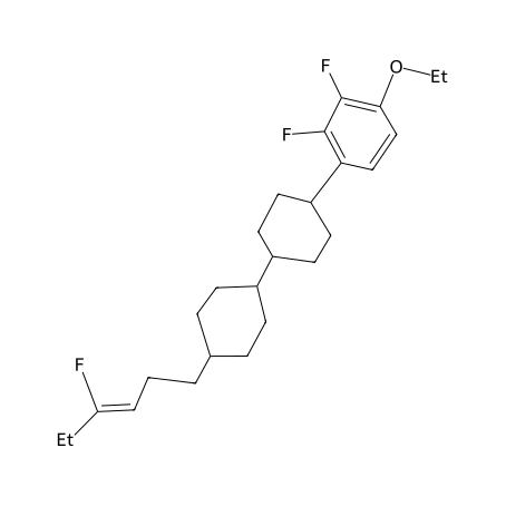 CCOc1ccc(C2CCC(C3CCC(CCC=C(F)CC)CC3)CC2)c(F)c1F